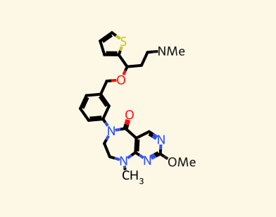 CNCCC(OCc1cccc(N2CCN(C)c3nc(OC)ncc3C2=O)c1)c1cccs1